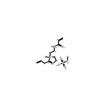 C=CCC1=NCC[N+]1(C)CCNC(=O)C=C.COS(=O)(=O)[O-]